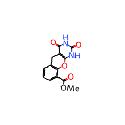 COC(=O)c1cccc2c1Oc1[nH]c(=O)[nH]c(=O)c1C2